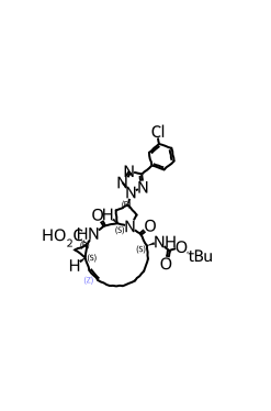 CC(C)(C)OC(=O)N[C@H]1CCCCC/C=C\[C@@H]2C[C@@]2(C(=O)O)NC(=O)[C@@H]2C[C@@H](n3nnc(-c4cccc(Cl)c4)n3)CN2C1=O